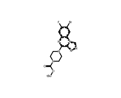 CC(C)(C)OC(=O)N1CCN(c2nc3cc(F)c(Br)cc3n3cnnc23)CC1